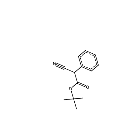 CC(C)(C)OC(=O)C(C#N)c1ccccc1